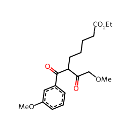 CCOC(=O)CCCCC(C(=O)COC)C(=O)c1cccc(OC)c1